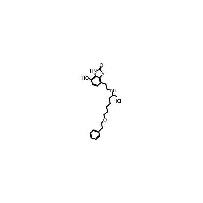 CC(CCCCCOCCc1ccccc1)NCCc1ccc(O)c2[nH]c(=O)sc12.Cl